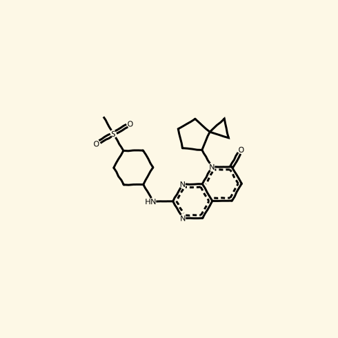 CS(=O)(=O)C1CCC(Nc2ncc3ccc(=O)n(C4CCCC45CC5)c3n2)CC1